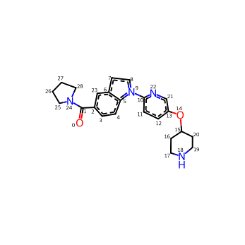 O=C(c1ccc2c(ccn2-c2ccc(OC3CCNCC3)cn2)c1)N1CCCC1